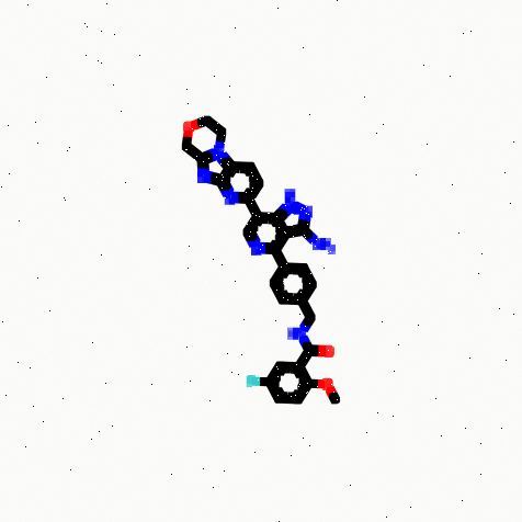 COc1ccc(F)cc1C(=O)NCc1ccc(-c2ncc(-c3ccc4c(n3)nc3n4CCOC3)c3[nH]nc(N)c23)cc1